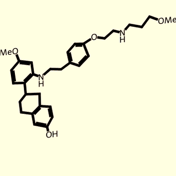 COCCCNCCOc1ccc(CCNc2cc(OC)ccc2C2CCc3cc(O)ccc3C2)cc1